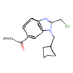 COC(=O)c1ccc2nc(CCl)n(CC3CCC3)c2c1